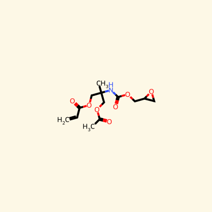 C=CC(=O)OCC(C)(COC(C)=O)NC(=O)OCC1CO1